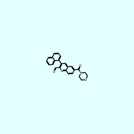 O=Cc1nc2ccc(C(=O)N3CCOCC3)cc2cc1-c1cccc2ccccc12